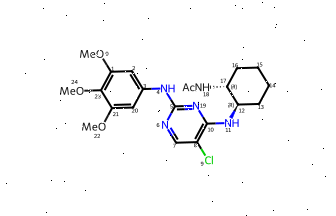 COc1cc(Nc2ncc(Cl)c(N[C@@H]3CCCC[C@H]3NC(C)=O)n2)cc(OC)c1OC